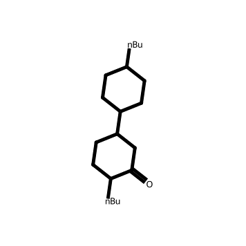 CCCCC1CCC(C2CCC(CCCC)C(=O)C2)CC1